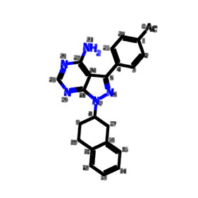 CC(=O)c1ccc(-c2nn(C3CCc4ccccc4C3)c3ncnc(N)c23)cc1